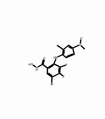 Cc1cc([S+](C)[O-])ccc1Nc1c(C(=O)NO)cc(Br)c(F)c1F